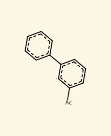 CC(=O)c1[c]c(-c2ccccc2)ccc1